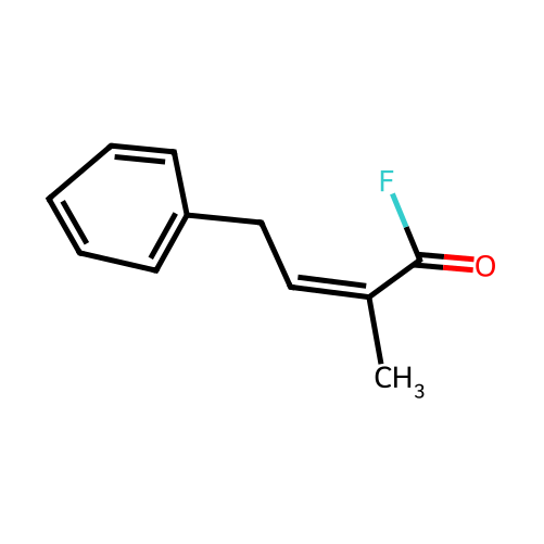 CC(=CCc1ccccc1)C(=O)F